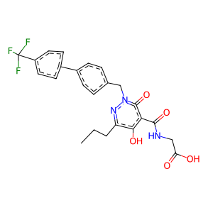 CCCc1nn(Cc2ccc(-c3ccc(C(F)(F)F)cc3)cc2)c(=O)c(C(=O)NCC(=O)O)c1O